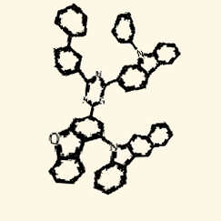 c1ccc(-c2cccc(-c3nc(-c4cc(-n5c6ccccc6c6cc7ccccc7cc65)c5c(c4)oc4ccccc45)nc(-c4ccc5c6ccccc6n(-c6ccccc6)c5c4)n3)c2)cc1